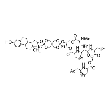 CCC1(OC(COC(=O)C(CC(C)C)NC)COC(=O)C(CC(C)C)NC(=O)CC(=O)NC(CC(C)C)C(=O)OCOC(=O)C(CC(C)C)NC(=O)CC(C)=O)OCC2(CO1)COC(CC)(OC1CC3C4CCc5cc(O)ccc5C4CCC3(C)C1)OC2